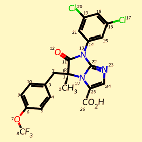 C[C@@]1(Cc2ccc(OC(F)(F)F)cc2)C(=O)N(c2cc(Cl)cc(Cl)c2)c2ncc(C(=O)O)n21